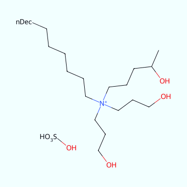 CCCCCCCCCCCCCCCC[N+](CCCO)(CCCO)CCCC(C)O.O=S(=O)(O)O